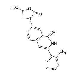 [CH2][C@H]1CN(c2ccc3cc(-c4ccccc4C(F)(F)F)[nH]c(=O)c3c2)C(=O)O1